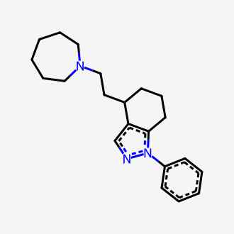 c1ccc(-n2ncc3c2CCCC3CCN2CCCCCC2)cc1